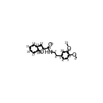 COc1ccc(CCNC(=O)c2cc3ccccc3o2)cc1OC